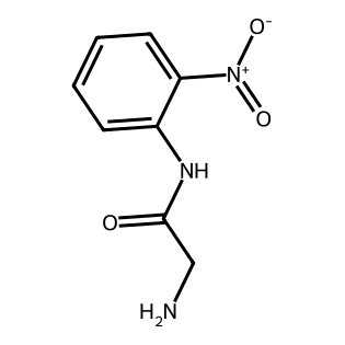 NCC(=O)Nc1ccccc1[N+](=O)[O-]